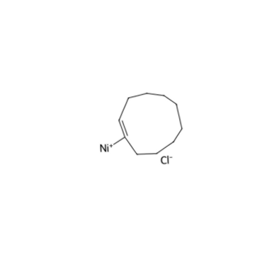 [Cl-].[Ni+]/[C]1=C/CCCCCCCC1